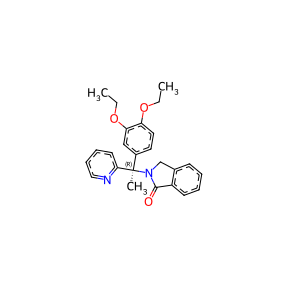 CCOc1ccc([C@](C)(c2ccccn2)N2Cc3ccccc3C2=O)cc1OCC